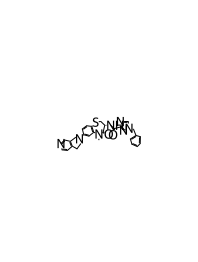 CN1C(=O)[C@@H](NC(=O)c2ncn(Cc3ccccc3)n2)CSc2ccc(N3CCc4ccncc4C3)cc21